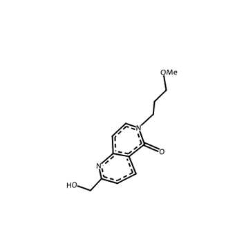 COCCCn1ccc2nc(CO)ccc2c1=O